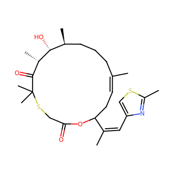 C/C1=C/CC(/C(C)=C\c2csc(C)n2)OC(=O)CSC(C)(C)C(=O)[C@H](C)[C@H](O)[C@@H](C)CCC1